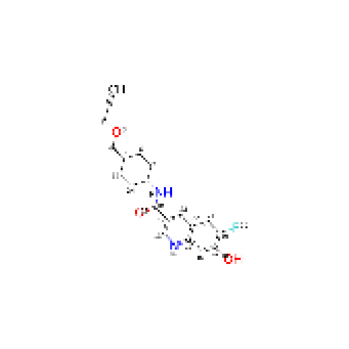 C#CCOC[C@H]1CC[C@H](NC(=O)c2cnc3cc(O)c(F)cc3c2)CC1